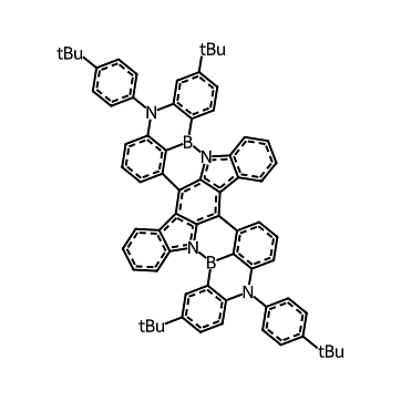 CC(C)(C)c1ccc(N2c3ccc(C(C)(C)C)cc3B3c4c(cccc42)-c2c4c5ccccc5n5c4c(c4c6ccccc6n3c24)-c2cccc3c2B5c2ccc(C(C)(C)C)cc2N3c2ccc(C(C)(C)C)cc2)cc1